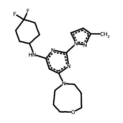 Cc1ccn(-c2nc(NC3CCC(F)(F)CC3)cc(N3CCCOCCC3)n2)n1